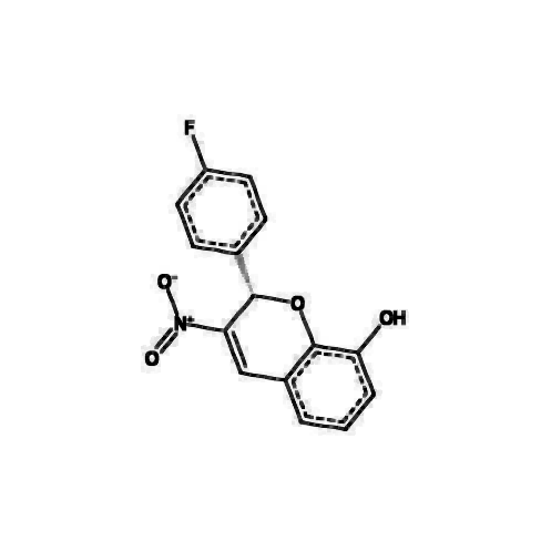 O=[N+]([O-])C1=Cc2cccc(O)c2O[C@H]1c1ccc(F)cc1